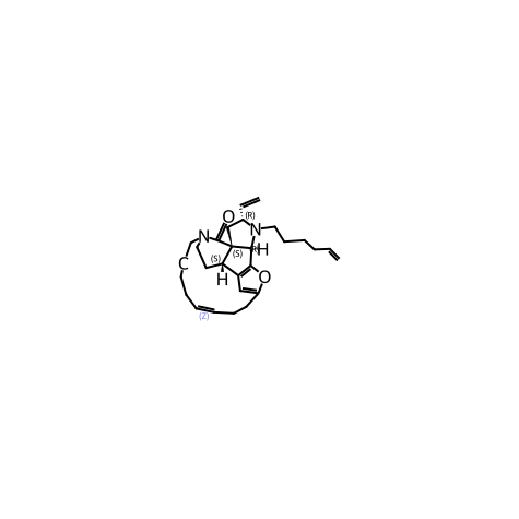 C=CCCCCN1[C@H]2c3oc4cc3[C@@H]3CCN(CCCC/C=C\CC4)C(=O)[C@]23C[C@@H]1C=C